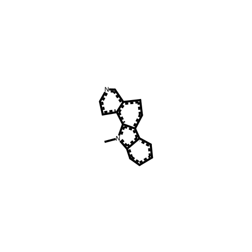 Cn1c2ccccc2c2ccc3cnccc3c21